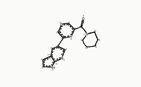 O=C(c1cncc(-c2cnc3[nH]ccc3c2)n1)N1CCCCC1